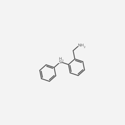 NCc1ccccc1[SiH2]c1ccccc1